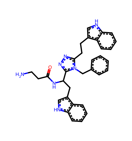 NCCC(=O)NC(Cc1c[nH]c2ccccc12)c1nnc(CCc2c[nH]c3ccccc23)n1Cc1ccccc1